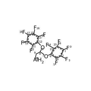 Fc1c(F)c(F)c(OC([CH2][AlH2])Oc2c(F)c(F)c(F)c(F)c2F)c(F)c1F